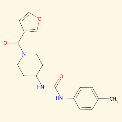 Cc1ccc(NC(=O)NC2CCN(C(=O)c3ccoc3)CC2)cc1